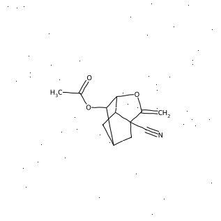 C=C1OC2C(OC(C)=O)C3CC2C1(C#N)C3